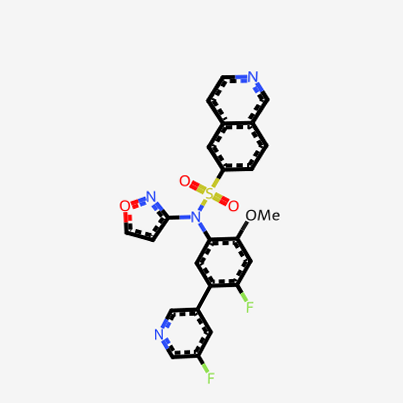 COc1cc(F)c(-c2cncc(F)c2)cc1N(c1ccon1)S(=O)(=O)c1ccc2cnccc2c1